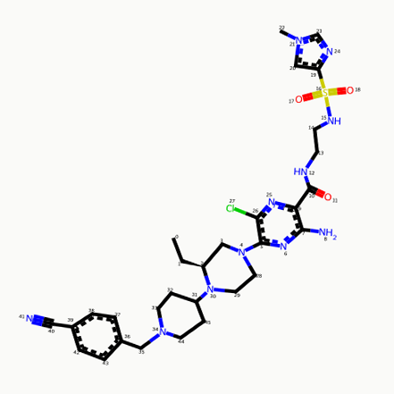 CC[C@H]1CN(c2nc(N)c(C(=O)NCCNS(=O)(=O)c3cn(C)cn3)nc2Cl)CCN1C1CCN(Cc2ccc(C#N)cc2)CC1